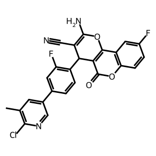 Cc1cc(-c2ccc(C3C(C#N)=C(N)Oc4c3c(=O)oc3ccc(F)cc43)c(F)c2)cnc1Cl